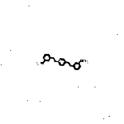 C=Cc1cccc(CCc2ccc(CCc3cccc(C=C)c3)cc2)c1